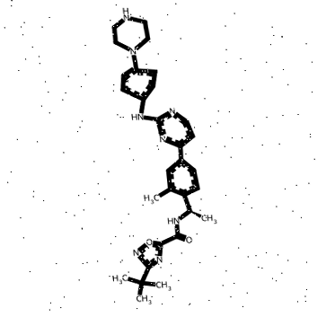 Cc1cc(-c2ccnc(Nc3ccc(N4CCNCC4)cc3)n2)ccc1[C@@H](C)NC(=O)c1nc(C(C)(C)C)no1